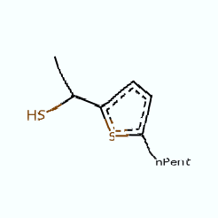 CCCCCc1ccc(C(C)S)s1